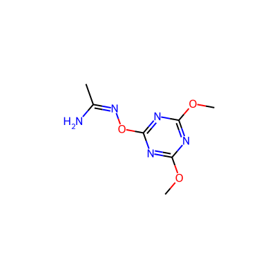 COc1nc(OC)nc(ON=C(C)N)n1